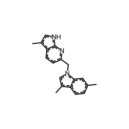 Cc1ccc2c(C)cn(Cc3ccc4c(C)c[nH]c4n3)c2c1